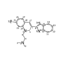 CN(C)CCN1CC(c2nc3ccccc3s2)=Cc2ccc(F)cc21